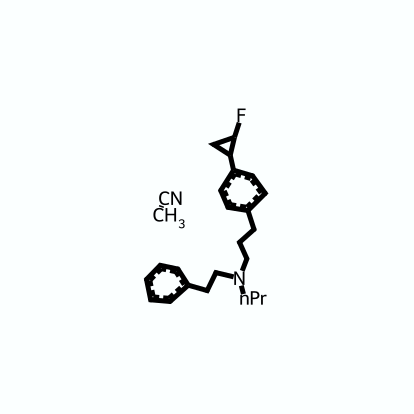 CC#N.CCCN(CCCc1ccc(C2CC2F)cc1)CCc1ccccc1